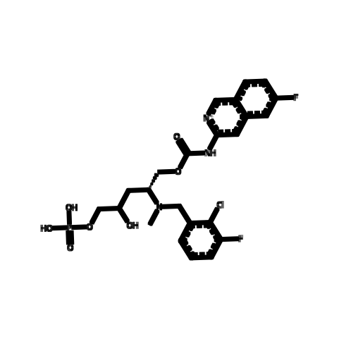 CN(Cc1cccc(F)c1Cl)[C@@H](COC(=O)Nc1cc2cc(F)ccc2cn1)CC(O)COP(=O)(O)O